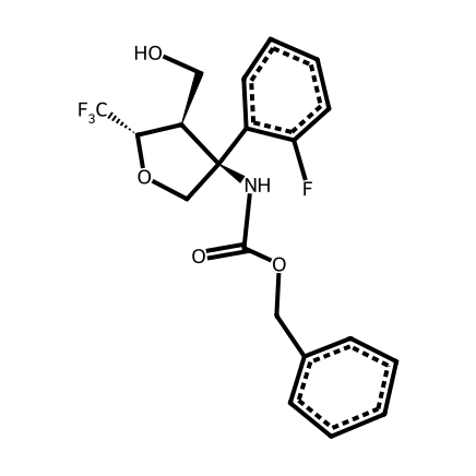 O=C(N[C@@]1(c2ccccc2F)CO[C@H](C(F)(F)F)[C@H]1CO)OCc1ccccc1